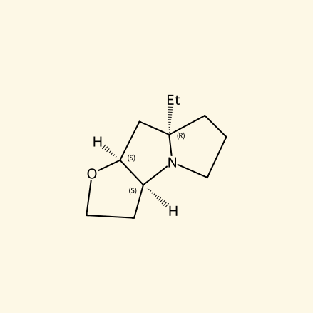 CC[C@]12CCCN1[C@H]1CCO[C@H]1C2